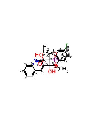 C=CP(=O)(OC)C(C(=O)O)(C(C)C)C(O)(Cc1ccc(F)cc1)c1cnc2ccccc2c1